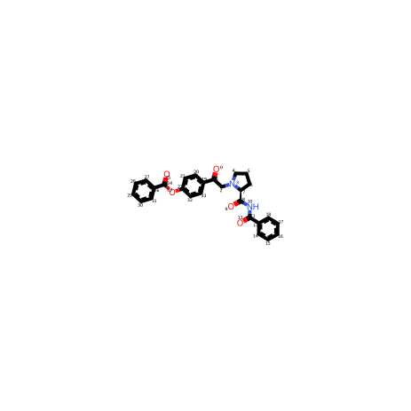 O=C(CN1CCC[C@H]1C(=O)NC(=O)c1ccccc1)c1ccc(OC(=O)c2ccccc2)cc1